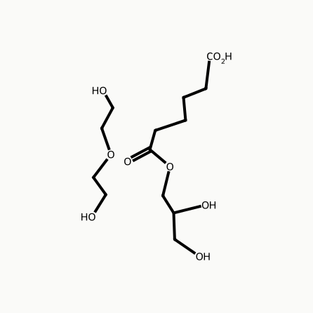 O=C(O)CCCCC(=O)OCC(O)CO.OCCOCCO